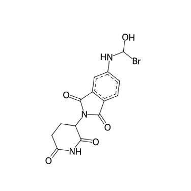 O=C1CCC(N2C(=O)c3ccc(NC(O)Br)cc3C2=O)C(=O)N1